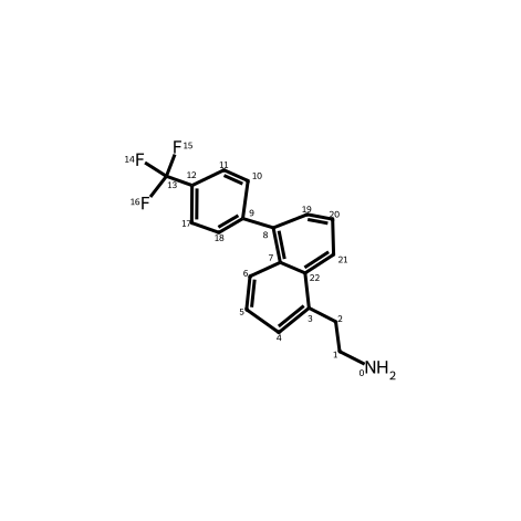 NCCc1cccc2c(-c3ccc(C(F)(F)F)cc3)cccc12